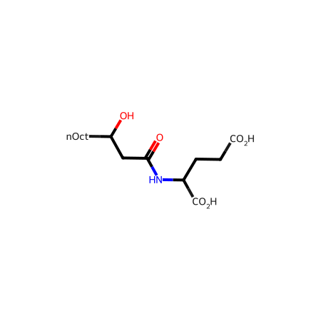 CCCCCCCCC(O)CC(=O)NC(CCC(=O)O)C(=O)O